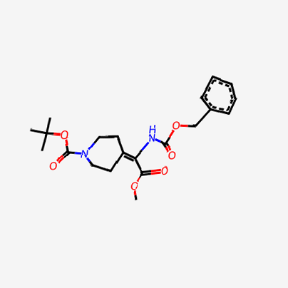 COC(=O)C(NC(=O)OCc1ccccc1)=C1CCN(C(=O)OC(C)(C)C)CC1